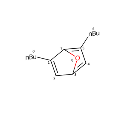 CCCCc1cc2cc(CCCC)c1o2